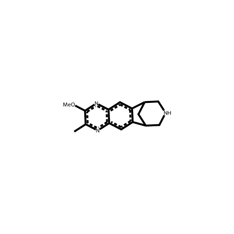 COc1nc2cc3c(cc2nc1C)C1CNCC3C1